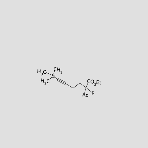 CCOC(=O)C(F)(CCC#C[Si](C)(C)C)C(C)=O